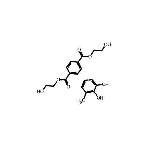 Cc1cccc(O)c1O.O=C(OCCO)c1ccc(C(=O)OCCO)cc1